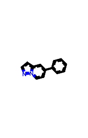 [c]1cnn2ccc(-c3ccccc3)cc12